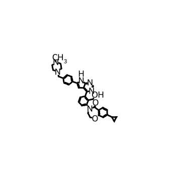 CN1CCN(Cc2ccc(-c3cc4c(-c5cccc(N6CCOc7cc(C8CC8)ccc7C6=O)c5CO)ncnc4[nH]3)cc2)CC1